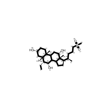 CC[C@H]1[C@@H](O)C2C3CC[C@H]([C@H](C)CCCS(C)(=O)=O)[C@@]3(C)[C@@H](O)CC2[C@@]2(C)CC[C@@H](O)C[C@@H]12